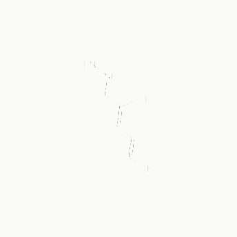 C/C=C/C=C(\C)CNN